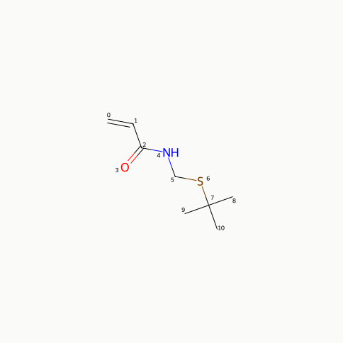 C=CC(=O)NCSC(C)(C)C